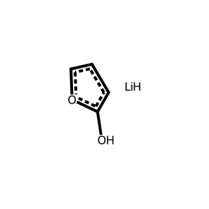 Oc1ccco1.[LiH]